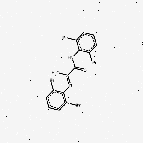 CC(=Nc1c(C(C)C)cccc1C(C)C)C(=O)Nc1c(C(C)C)cccc1C(C)C